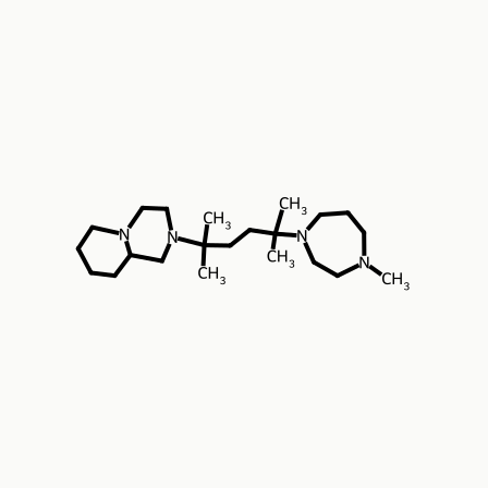 CN1CCCN(C(C)(C)CCC(C)(C)N2CCN3CCCCC3C2)CC1